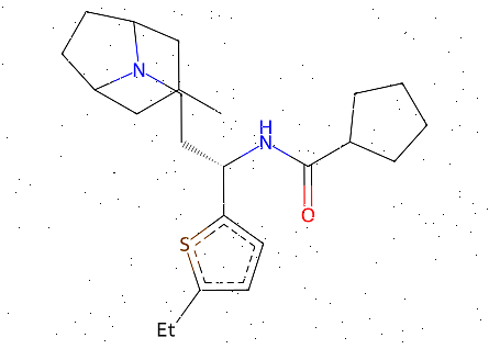 CCc1ccc([C@H](CCN2C3CCC2CC(C)C3)NC(=O)C2CCCC2)s1